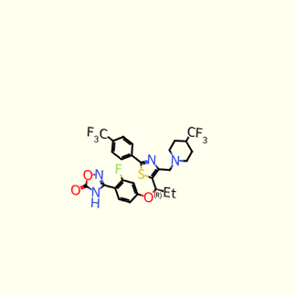 CC[C@@H](Oc1ccc(-c2noc(=O)[nH]2)c(F)c1)c1sc(-c2ccc(C(F)(F)F)cc2)nc1CN1CCC(C(F)(F)F)CC1